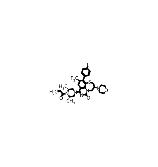 C=CC(=O)N1[C@H](C)CN(c2nc(=O)n3c4c(c(-c5ccc(F)cc5)c(C(F)(F)F)cc24)SC[C@@H](N2CCOCC2)C3)C[C@@H]1C